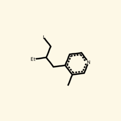 CCC(CI)Cc1ccncc1C